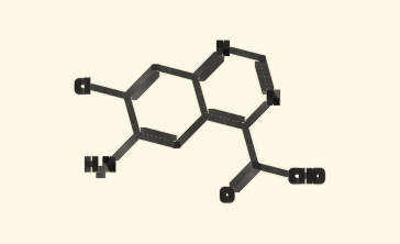 Nc1cc2c(C(=O)C=O)ncnc2cc1Cl